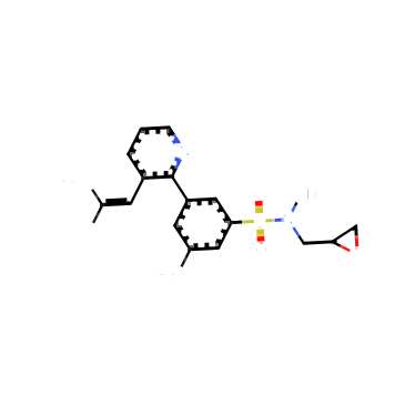 CCC(=Cc1cccnc1-c1cc(C(F)(F)F)cc(S(=O)(=O)N(C)CC2CO2)c1)C(=O)O